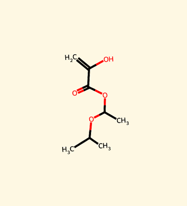 C=C(O)C(=O)OC(C)OC(C)C